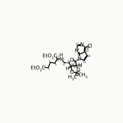 CCOC(=O)CCCC(NC[C@H]1O[C@@H](n2ccc3c(Cl)ncnc32)[C@@H]2OC(C)(C)O[C@@H]21)C(=O)OCC